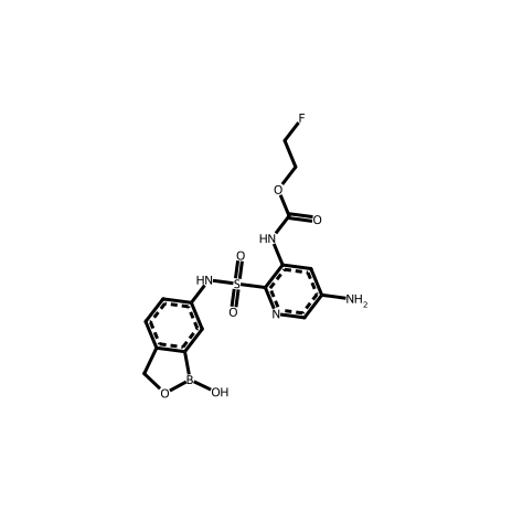 Nc1cnc(S(=O)(=O)Nc2ccc3c(c2)B(O)OC3)c(NC(=O)OCCF)c1